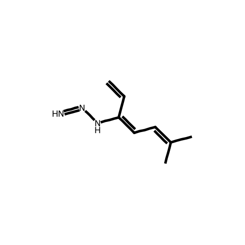 C=C/C(=C\C=C(C)C)NN=N